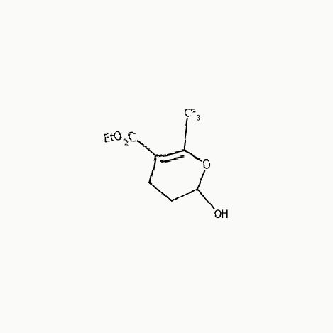 CCOC(=O)C1=C(C(F)(F)F)OC(O)CC1